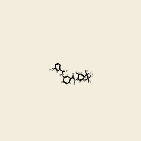 N#Cc1cccc(C(=O)Nc2cccc(C(=O)N(I)c3ccc(C(F)(C(F)(F)F)C(F)(F)C(F)(F)F)cc3I)c2)c1